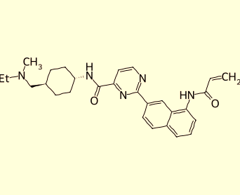 C=CC(=O)Nc1cccc2ccc(-c3nccc(C(=O)N[C@H]4CC[C@H](CN(C)CC)CC4)n3)cc12